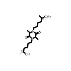 CO[C@H](C)CCCCN1C(=O)C(C)N(CCCC[C@@H](C)O)C(=O)C1C